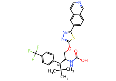 CC(C)(C)[C@@H](c1ccc(C(F)(F)F)cc1)C(COc1nnc(-c2ccc3cnccc3c2)s1)NC(=O)O